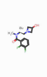 CC[C@H](C)[C@@H](CN1CC(O)C1)N(C)C(=O)c1cccc(F)c1F